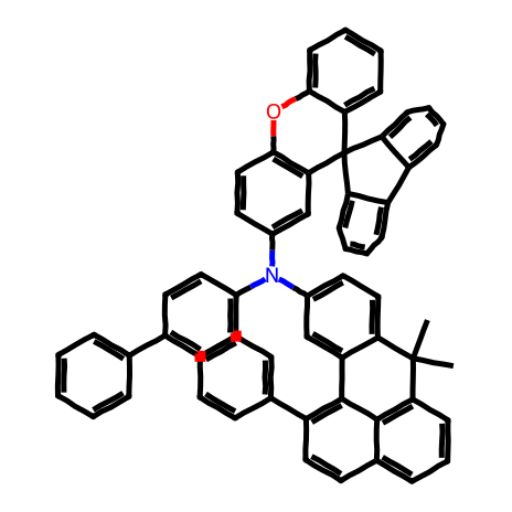 CC1(C)c2ccc(N(c3ccc(-c4ccccc4)cc3)c3ccc4c(c3)C3(c5ccccc5O4)c4ccccc4-c4ccccc43)cc2-c2c(-c3ccccc3)ccc3cccc1c23